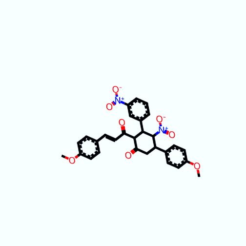 COc1ccc(C=CC(=O)C2C(=O)CC(c3ccc(OC)cc3)C([N+](=O)[O-])C2c2cccc([N+](=O)[O-])c2)cc1